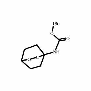 CC(C)(C)OC(=O)NC12CCC(CC1)OC2